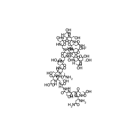 NC(=O)C[C@H](NC(=O)[C@H](CO)NC(=O)[C@H](CC(=O)O)NC(=O)[C@H](CO)NC(=O)CNC(=O)[C@H](CO)NC(=O)CNC(=O)[C@H](CC(=O)O)NC(=O)[C@@H](N)CC(N)=O)C(=O)N[C@@H](CC(=O)O)C(=O)NCC(=O)N[C@@H](CO)C(=O)NCC(=O)N[C@@H](CO)C(=O)N[C@@H](CC(=O)O)C(=O)N[C@@H](CO)C(=O)N[C@@H](CC(N)=O)C(=O)N[C@@H](CC(=O)O)C(=O)N[C@@H](CO)C(=O)N[C@@H](CC(=O)O)C(=O)N[C@@H](CO)C(=O)O